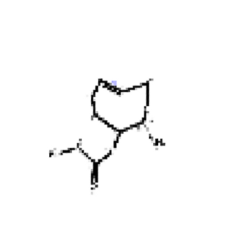 CC(C)(C)SC(=O)NC1CC/C=C/CC[C@@H]1N